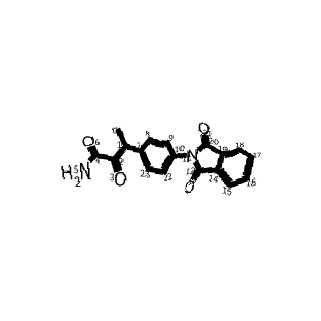 CC(C(=O)C(N)=O)c1ccc(N2C(=O)c3ccccc3C2=O)cc1